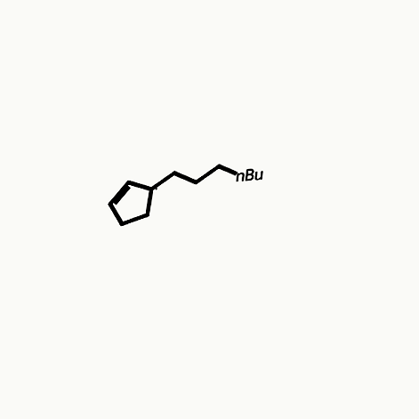 CCCCCCC[C]1C=CCC1